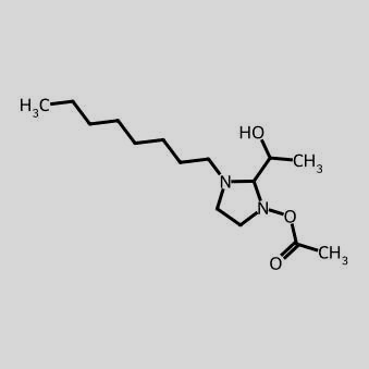 CCCCCCCCN1CCN(OC(C)=O)C1C(C)O